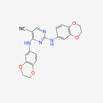 N#Cc1cnc(Nc2ccc3c(c2)OCCO3)nc1Nc1ccc2c(c1)OCCO2